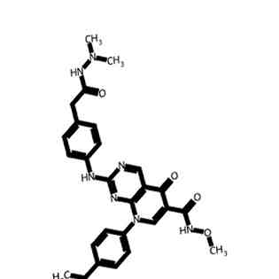 CCc1ccc(-n2cc(C(=O)NOC)c(=O)c3cnc(Nc4ccc(CC(=O)NN(C)C)cc4)nc32)cc1